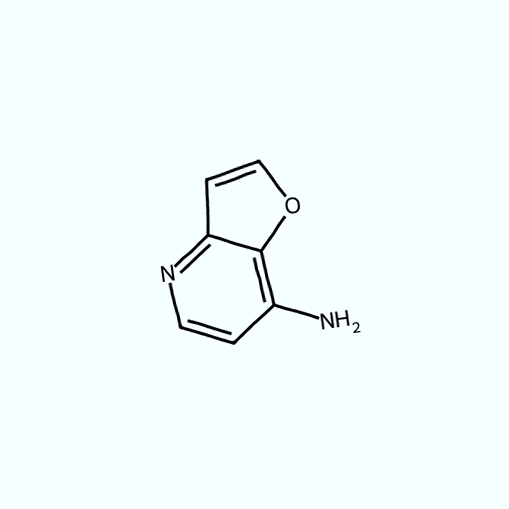 Nc1ccnc2ccoc12